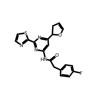 O=C(Cc1ccc(F)cc1)Nc1cc(C2CC=CO2)nc(-c2nccs2)n1